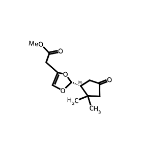 COC(=O)CC1=COC([C@@H]2CC(=O)CC2(C)C)O1